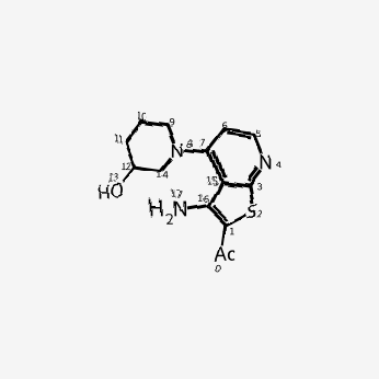 CC(=O)c1sc2nccc(N3CCCC(O)C3)c2c1N